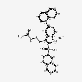 Cl.N=C(N)NCCc1c(S(=O)(=O)c2ccc3ccccc3c2)[nH]c2ccc(-c3cccc4ccccc34)cc12